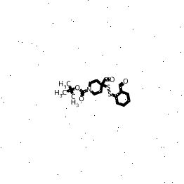 CC(C)(C)OC(=O)N1CCC(C=O)(SSC2CCCCC2C=O)CC1